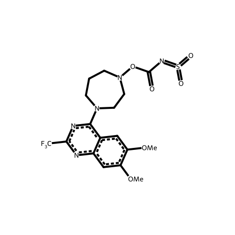 COc1cc2nc(C(F)(F)F)nc(N3CCCN(OC(=O)N=S(=O)=O)CC3)c2cc1OC